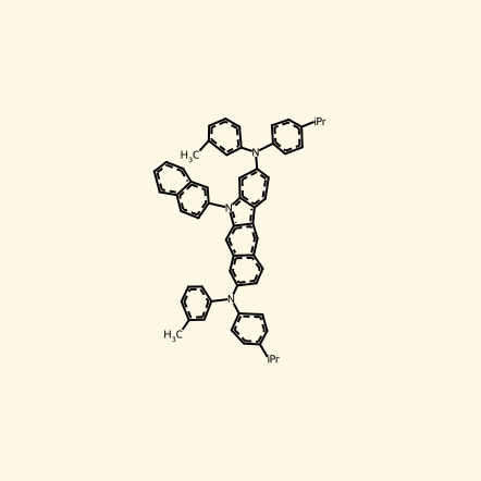 Cc1cccc(N(c2ccc(C(C)C)cc2)c2ccc3cc4c5ccc(N(c6ccc(C(C)C)cc6)c6cccc(C)c6)cc5n(-c5ccc6ccccc6c5)c4cc3c2)c1